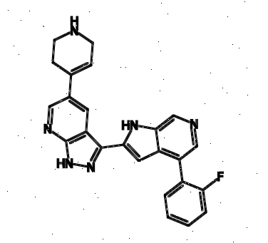 Fc1ccccc1-c1cncc2[nH]c(-c3n[nH]c4ncc(C5=CCNCC5)cc34)cc12